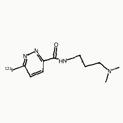 CN(C)CCCNC(=O)c1ccc([123I])nn1